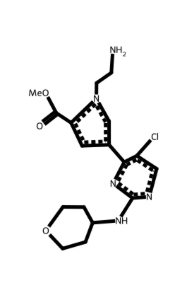 COC(=O)c1cc(-c2nc(NC3CCOCC3)ncc2Cl)cn1CCN